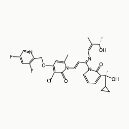 C/C(=C/N=C(\C=C\n1c(C)cc(OCc2ncc(F)cc2F)c(Cl)c1=O)n1cccc([C@@](C)(O)C2CC2)c1=O)[C@H](C)O